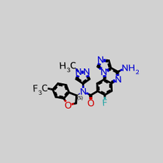 Cn1cc(N(C(=O)c2cc3c(cc2F)nc(N)c2cncn23)[C@@H]2COc3cc(C(F)(F)F)ccc32)cn1